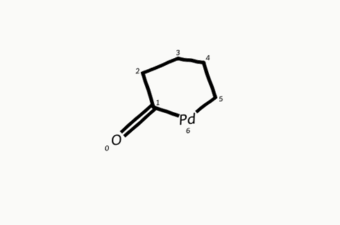 O=[C]1CCC[CH2][Pd]1